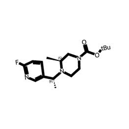 C[C@H](c1ccc(F)nc1)N1CCN(C(=O)OC(C)(C)C)C[C@@H]1C